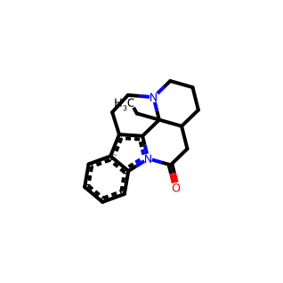 CCC12c3c4c5ccccc5n3C(=O)CC1CCCN2CC4